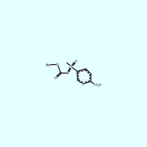 CC(C)(C)OC(=O)N=S(C)(=O)c1ccc(C(=O)O)nc1